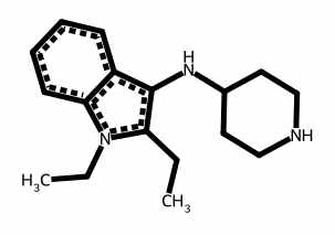 CCc1c(NC2CCNCC2)c2ccccc2n1CC